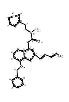 CC(=O)/C=C/C=C/c1cc(CC(=O)N(C)CCc2ccccc2)c2cccc(OCc3ccccc3)c2c1